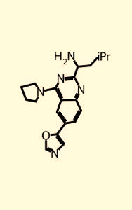 CC(C)CC(N)c1nc(N2CCCC2)c2cc(-c3cnco3)ccc2n1